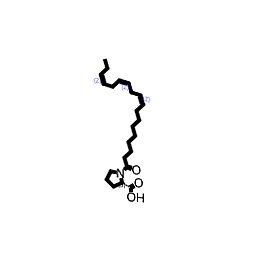 CC/C=C\C/C=C\C/C=C\CCCCCCCC(=O)N1CCC[C@H]1C(=O)O